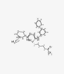 CC(=O)CCCCC[C@H](NC(=O)C1CCCN(C)C1)C(=O)Nc1cccc(-c2ccccc2)c1